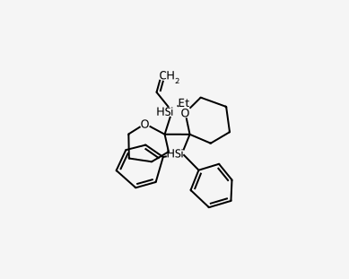 C=C[SiH](CC)C1(C2([SiH](c3ccccc3)c3ccccc3)CCCCO2)CCCCO1